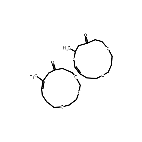 CC1=CCCCCCCCCCCCC(=O)C1.CC1CC=CCCCCCCCCCC(=O)C1